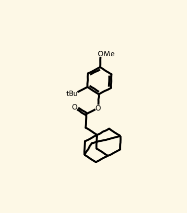 COc1ccc(OC(=O)CC23CC4CC(CC(C4)C2)C3)c(C(C)(C)C)c1